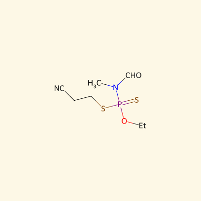 CCOP(=S)(SCCC#N)N(C)C=O